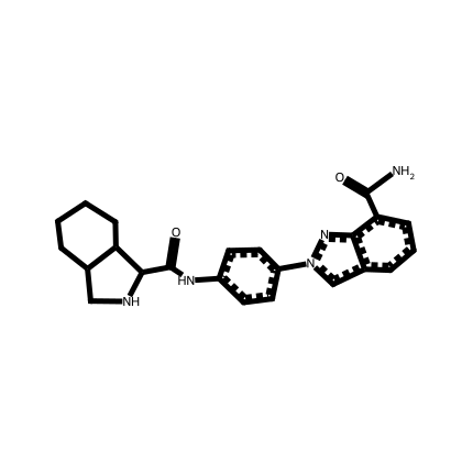 NC(=O)c1cccc2cn(-c3ccc(NC(=O)C4NCC5CCCCC54)cc3)nc12